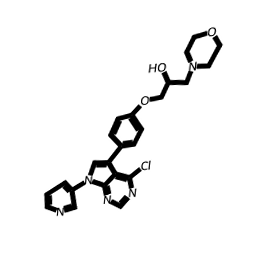 OC(COc1ccc(-c2cn(-c3cccnc3)c3ncnc(Cl)c23)cc1)CN1CCOCC1